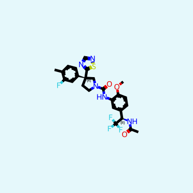 COc1ccc([C@@H](NC(C)=O)C(F)(F)F)cc1NC(=O)N1CC[C@](c2ccc(C)c(F)c2)(c2ncns2)C1